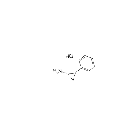 Cl.N[C@H]1CC1c1ccccc1